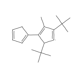 CC1=C(C2=CC=CC2)C(C(C)(C)C)[C]=C1C(C)(C)C